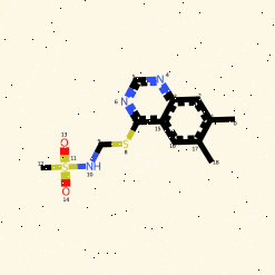 Cc1cc2ncnc(SCNS(C)(=O)=O)c2cc1C